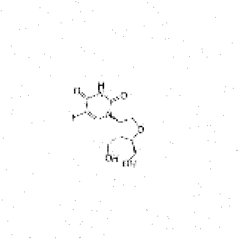 O=c1[nH]c(=O)n([C@H]2CO[C@@H](CO)[C@@H]2CO)cc1I